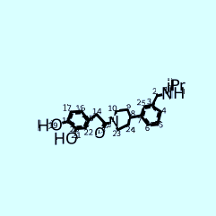 CC(C)NCc1cccc(C2CCN(C(=O)Cc3ccc(O)c(O)c3)CC2)c1